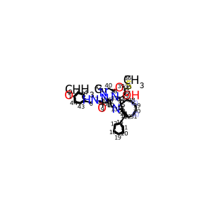 COc1ccc(CNC(=O)N2[C@H]3CN4CC(c5ccccc5)C5=CCC4(C(O)/C=C\C=C/5)[C@H](CCSC)N3C(=O)CN2C)cc1